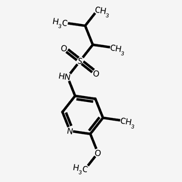 COc1ncc(NS(=O)(=O)C(C)C(C)C)cc1C